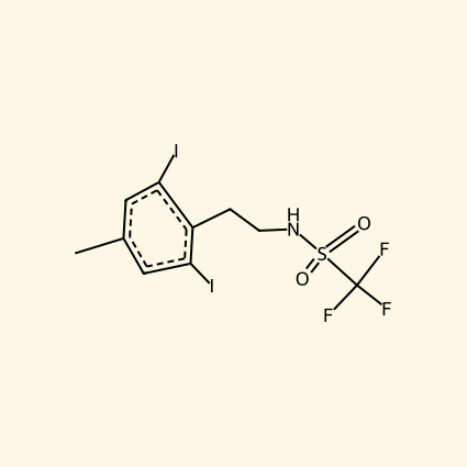 Cc1cc(I)c(CCNS(=O)(=O)C(F)(F)F)c(I)c1